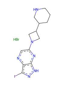 Br.Ic1n[nH]c2nc(N3CC(C4CCCNC4)C3)cnc12